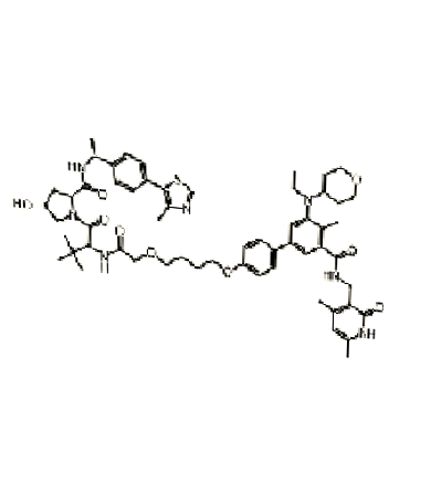 CCN(c1cc(-c2ccc(OCCCCOCC(=O)N[C@H](C(=O)N3C[C@H](O)C[C@H]3C(=O)N[C@@H](C)c3ccc(-c4scnc4C)cc3)C(C)(C)C)cc2)cc(C(=O)NCc2c(C)cc(C)[nH]c2=O)c1C)C1CCOCC1